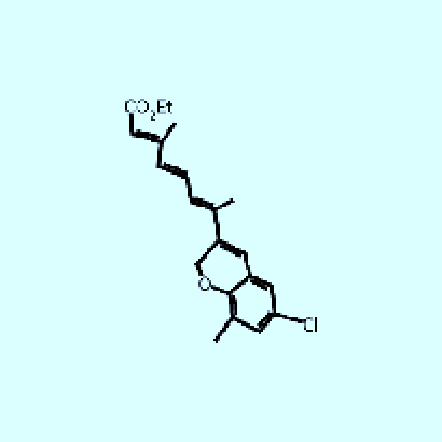 CCOC(=O)/C=C(C)/C=C/C=C(\C)C1=Cc2cc(Cl)cc(C)c2OC1